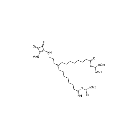 CCCCCCCCC(CC)OC(=N)CCCCCCCN(CCCCCCCC(=O)OC(CCCCCCCC)CCCCCCCC)CCCNc1c(NC)c(=O)c1=O